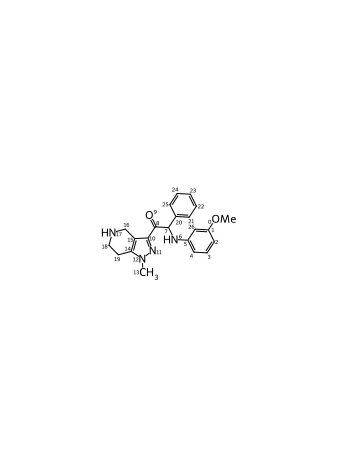 COc1cccc(NC(C(=O)c2nn(C)c3c2CNCC3)c2ccccc2)c1